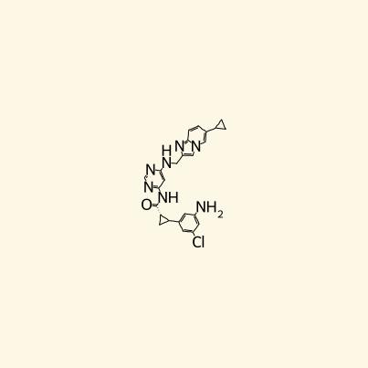 Nc1cc(Cl)cc(C2C[C@@H]2C(=O)Nc2cc(NCc3cn4cc(C5CC5)ccc4n3)ncn2)c1